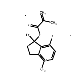 C=C(C)C(=O)OC1(CC)CCc2c(C(F)(F)F)ccc(F)c21